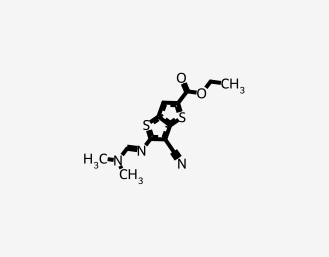 CCOC(=O)c1cc2sc(/N=C/N(C)C)c(C#N)c2s1